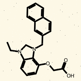 CCN1CN(Cc2ccc3ccccc3c2)c2c(OCC(=O)O)cccc21